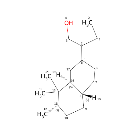 CCC(CO)=C1CC[C@@H]2CC[C@H](C)C(C)(C)[C@H]2C1